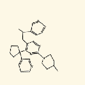 CC1CCN(c2ncc(CC(C)c3cccnc3)c(C3(c4cccnc4)CCCC3)n2)CC1